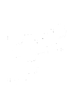 CCOc1ccc(CC(=O)O)cc1-c1ccc(F)c2c1CN(C(=O)CC(C)c1ccccn1)CC2